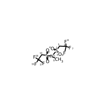 CN(S(=O)(=O)CC(F)(F)F)S(=O)(=O)CC(F)(F)F